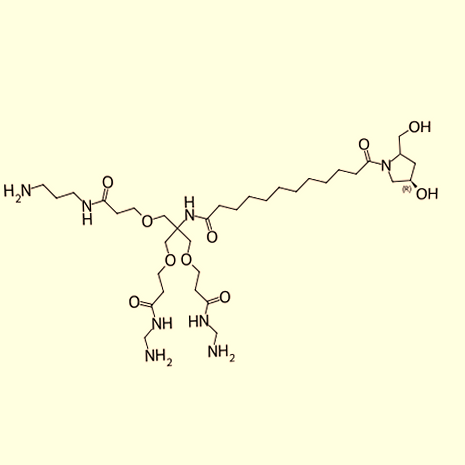 NCCCNC(=O)CCOCC(COCCC(=O)NCN)(COCCC(=O)NCN)NC(=O)CCCCCCCCCCC(=O)N1C[C@H](O)CC1CO